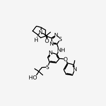 CC(=O)N1C2CC[C@@H]1CC(c1nsc(Nc3ncc(SCC(C)(C)O)cc3Oc3cccnc3C)n1)C2